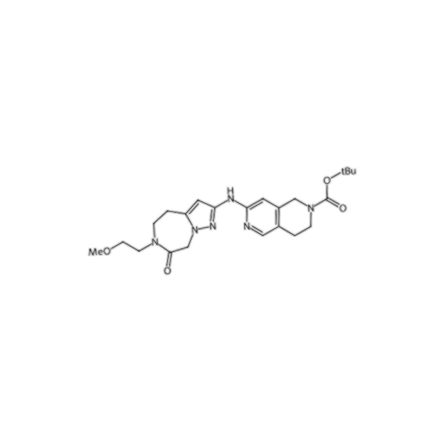 COCCN1CCc2cc(Nc3cc4c(cn3)CCN(C(=O)OC(C)(C)C)C4)nn2CC1=O